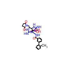 Cc1ccccc1-c1cccc(C(=O)NC2CN3C(=N)NC(CN4C(=O)CCC4=O)C4NC(=N)NC43C2(O)O)c1